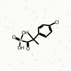 CC(C)(C(=O)P(=O)(O)O)c1ccc(Cl)cc1